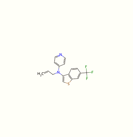 C=CCN(c1ccncc1)c1csc2cc(C(F)(F)F)ccc12